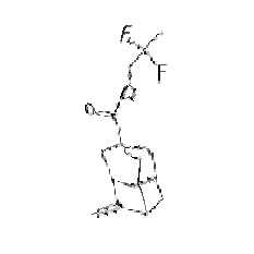 C=C1C2CC3CC1CC(C(=O)OCC(C)(F)F)(C3)C2